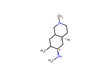 CN[C@@H]1C[C@@H]2CCN(C)CC2CC1C